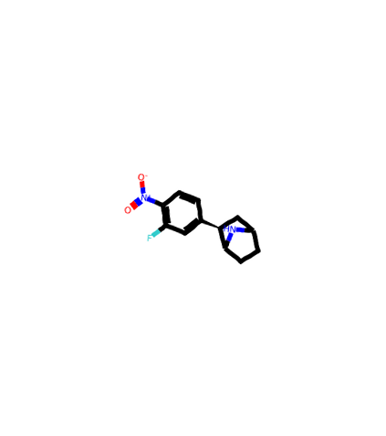 O=[N+]([O-])c1ccc([C@H]2CC3CCC2N3)cc1F